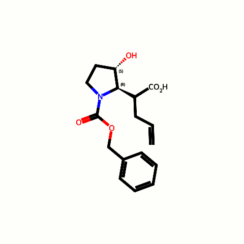 C=CCC(C(=O)O)[C@@H]1[C@@H](O)CCN1C(=O)OCc1ccccc1